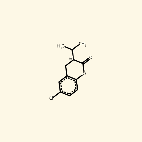 CC(C)[C@@H]1Cc2cc(Cl)ccc2OC1=O